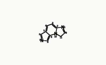 C1=Nc2ccc3cncc-3n2C1